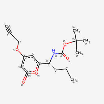 C#CCOc1cc([C@@H](CCC)NC(=O)OC(C)(C)C)oc(=O)c1